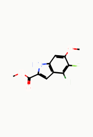 COC(=O)c1cc2c(Cl)c(F)c(OC)cc2[nH]1